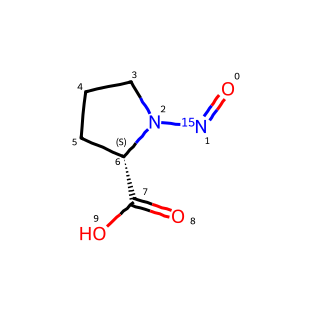 O=[15N]N1CCC[C@H]1C(=O)O